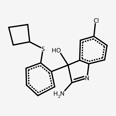 NC1=Nc2ccc(Cl)cc2C1(O)c1ccccc1SC1CCC1